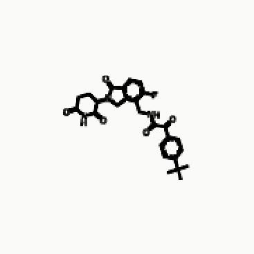 CC(C)(C)c1ccc(C(=O)C(=O)NCc2c(F)ccc3c2CN(C2CCC(=O)NC2=O)C3=O)cc1